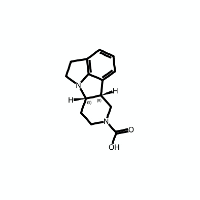 O=C(O)N1CC[C@H]2[C@@H](C1)c1cccc3c1N2CC3